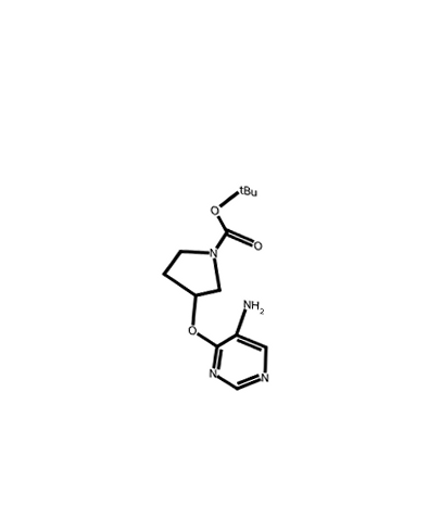 CC(C)(C)OC(=O)N1CCC(Oc2ncncc2N)C1